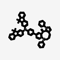 C=C1c2cc(-c3ccc(N(c4ccc5c(c4)C(C)(C)c4ccccc4-5)c4ccc5c(c4)C(C)(C)c4ccccc4-5)cc3)ccc2N(c2ccccc2)C/C=C\c2ccn(-c3ccccc3)c21